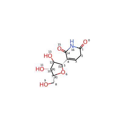 O=C1CC=C([C@@H]2O[C@H](CO)[C@H](O)C2O)C(=O)N1